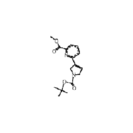 COC(=O)c1cccc(C2=CCN(C(=O)OC(C)(C)C)C2)n1